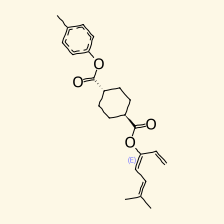 C=C/C(=C\C=C(C)C)OC(=O)[C@H]1CC[C@H](C(=O)Oc2ccc(C)cc2)CC1